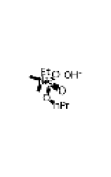 CCCOS(=O)(=O)[N+](C)(C)CC.[OH-]